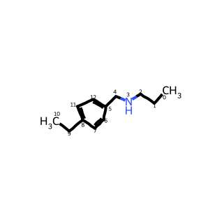 CCCNCc1ccc(CC)cc1